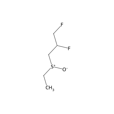 CC[S+]([O-])CC(F)CF